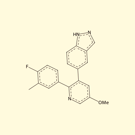 COc1cnc(-c2ccc(F)c(C)c2)c(-c2ccc3[nH]ncc3c2)c1